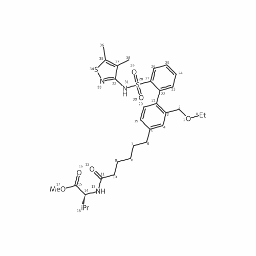 CCOCc1cc(CCCCCC(=O)N[C@H](C(=O)OC)C(C)C)ccc1-c1ccccc1S(=O)(=O)Nc1nsc(C)c1C